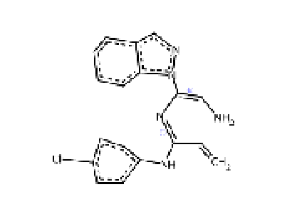 C=C/C(=N\C(=C/N)n1ncc2ccccc21)Nc1ccc(Cl)cc1